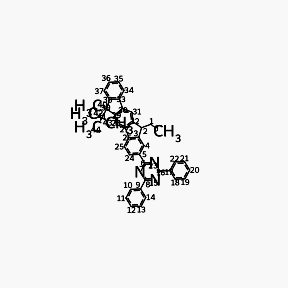 CCC1c2cc(-c3nc(-c4ccccc4)nc(-c4ccccc4)n3)ccc2-c2cc3c(cc21)-c1ccccc1C3(C)C(C)(C)C